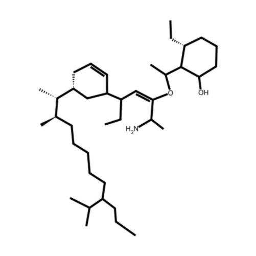 CCCC(CCCCC[C@@H](C)[C@H](C)[C@@H]1CC=CC(C(/C=C(/OC(C)C2C(O)CCC[C@H]2CC)C(C)N)CC)C1)C(C)C